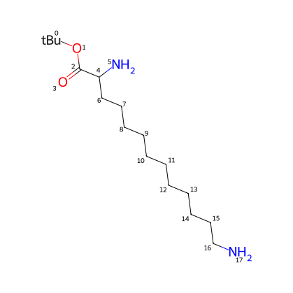 CC(C)(C)OC(=O)C(N)CCCCCCCCCCCN